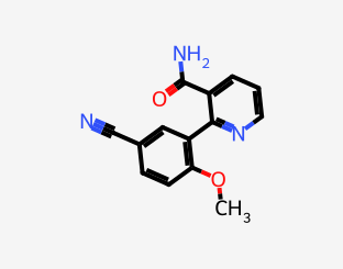 COc1ccc(C#N)cc1-c1ncccc1C(N)=O